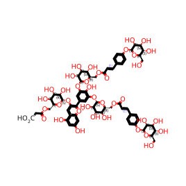 O=C(O)CC(=O)OC[C@H]1O[C@@H](Oc2cc3c(O)cc(O)cc3[o+]c2-c2cc(O[C@@H]3O[C@H](COC(=O)/C=C/c4ccc(O[C@@H]5O[C@H](CO)[C@@H](O)[C@H](O)[C@H]5O)cc4)[C@@H](O)[C@H](O)[C@H]3O)c(O)c(O[C@@H]3O[C@H](COC(=O)/C=C/c4ccc(O[C@@H]5O[C@H](CO)[C@@H](O)[C@H](O)[C@H]5O)cc4)[C@@H](O)[C@H](O)[C@H]3O)c2)[C@H](O)[C@@H](O)[C@@H]1O